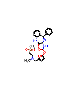 CN(CCS(C)(=O)=O)Cc1ccc(OC(=O)N[C@H]2N=C(c3ccccc3)c3ccccc3NC2=O)o1